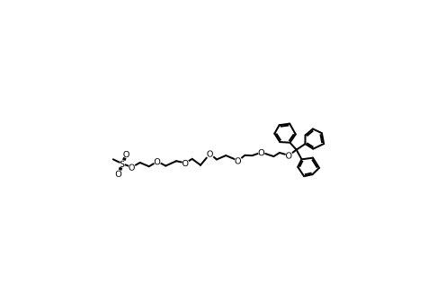 CS(=O)(=O)OCCOCCOCCOCCOCCOCCOC(c1ccccc1)(c1ccccc1)c1ccccc1